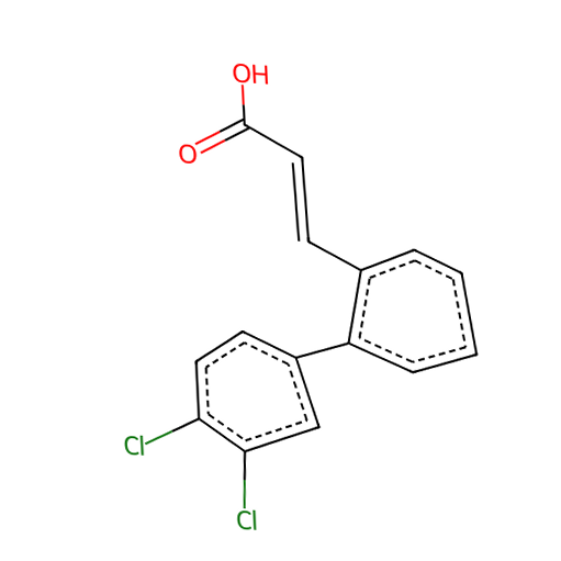 O=C(O)C=Cc1ccccc1-c1ccc(Cl)c(Cl)c1